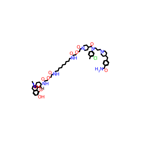 Cc1ccc(N(CCCN2CCC(Cc3ccc(C(N)=O)cc3)CC2)C(=O)C2CCN(C(=O)COCC(=O)NCCCCCCCCCNC(=O)COCC(=O)N[C@H]3CC[C@@]4(O)C5Cc6ccc(O)c7c6[C@@]4(CCN5C)[C@H]3O7)CC2)cc1Cl